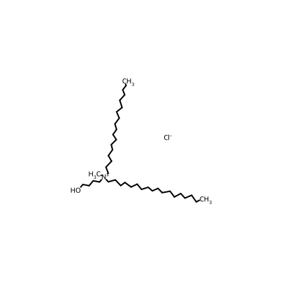 CCCCCCCCCCCCCCCCCC[N+](C)(CCCCO)CCCCCCCCCCCCCCCCCC.[Cl-]